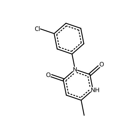 Cc1cc(=O)n(-c2cccc(Cl)c2)c(=O)[nH]1